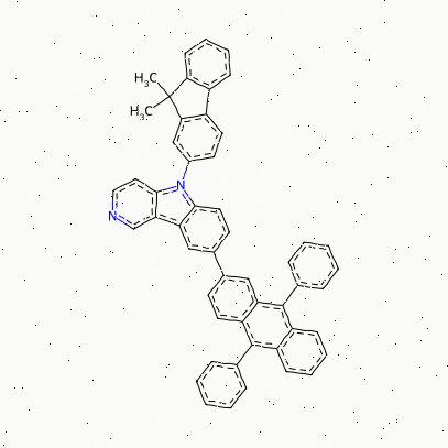 CC1(C)c2ccccc2-c2ccc(-n3c4ccncc4c4cc(-c5ccc6c(-c7ccccc7)c7ccccc7c(-c7ccccc7)c6c5)ccc43)cc21